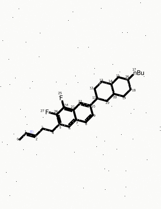 C/C=C/CCc1cc2ccc(C3CCC4CC(CCCC)CCC4C3)cc2c(F)c1F